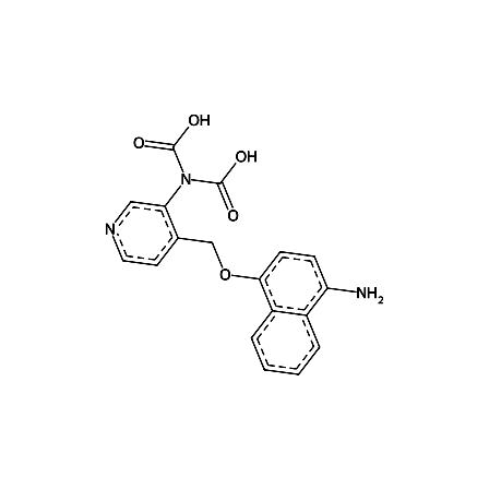 Nc1ccc(OCc2ccncc2N(C(=O)O)C(=O)O)c2ccccc12